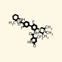 CC1CN(c2cc(F)c(-c3ccc(C(=O)NC4CCCCC4(C)C)c(F)c3)cc2NC(=O)c2c[nH]c(=O)cc2C(F)(F)F)CC(C)N1C